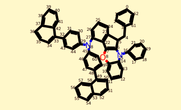 c1ccc(CC2C3=C(Oc4ccccc4N3c3ccccc3)c3c2cccc3N(c2ccc(-c3cccc4ccccc34)cc2)c2ccc(-c3cccc4ccccc34)cc2)cc1